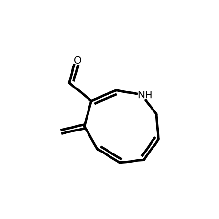 C=C1/C=C\C=C/CN/C=C\1C=O